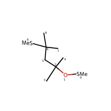 CSOC(C)(C)CC(C)(C)SC